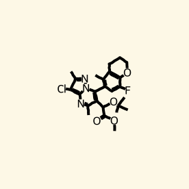 COC(=O)C(OC(C)(C)C)c1c(C)nc2c(Cl)c(C)nn2c1-c1cc(F)c2c(c1C)CCCO2